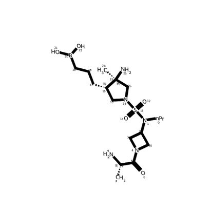 CCCN(C1CN(C(=O)[C@H](C)N)C1)S(=O)(=O)N1C[C@H](CCCB(O)O)[C@@](C)(N)C1